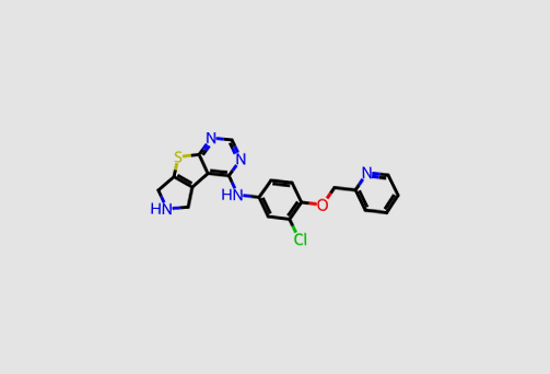 Clc1cc(Nc2ncnc3sc4c(c23)CNC4)ccc1OCc1ccccn1